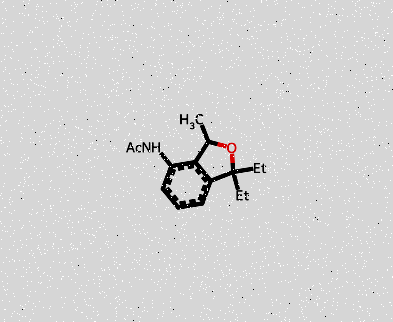 CCC1(CC)OC(C)c2c(NC(C)=O)cccc21